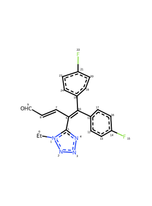 CCn1nnnc1C(/C=C/C=O)=C(c1ccc(F)cc1)c1ccc(F)cc1